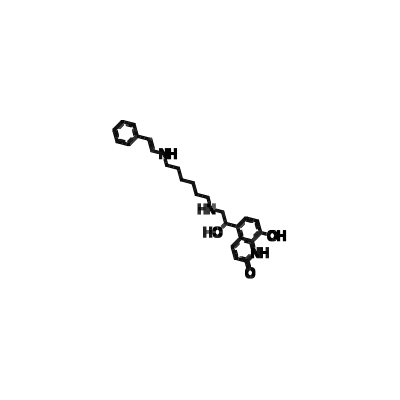 O=c1ccc2c(C(O)CNCCCCCCNC=Cc3ccccc3)ccc(O)c2[nH]1